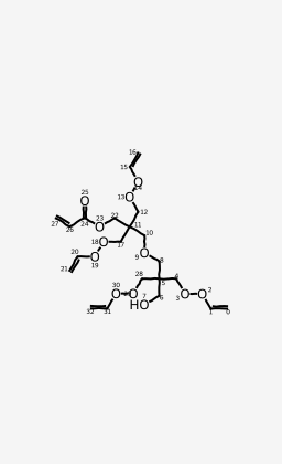 C=COOCC(CO)(COCC(COOC=C)(COOC=C)COC(=O)C=C)COOC=C